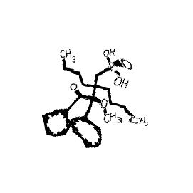 CCCCC(CCCC)(CP(=O)(O)O)C(OC)(C(=O)c1ccccc1)c1ccccc1